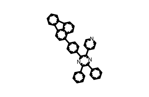 c1ccc(-c2nc(-c3ccncc3)c(-c3ccc(-c4ccc5c6c(cccc46)-c4ccccc4-5)cc3)nc2-c2ccccc2)cc1